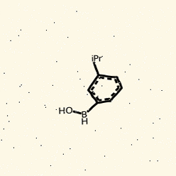 CC(C)c1cccc(BO)c1